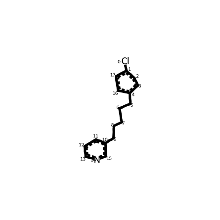 Clc1ccc(C[CH]CCCc2cccnc2)cc1